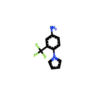 Nc1ccc(-n2cccc2)c(C(F)(F)F)c1